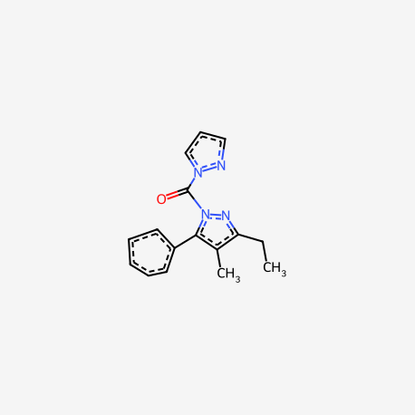 CCc1nn(C(=O)n2cccn2)c(-c2ccccc2)c1C